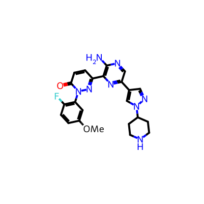 COc1ccc(F)c(-n2nc(-c3nc(-c4cnn(C5CCNCC5)c4)cnc3N)ccc2=O)c1